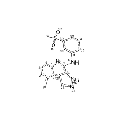 Cc1cccc2nc(Nc3cccc(S(C)(=O)=O)c3)c3[nH]ncc3c12